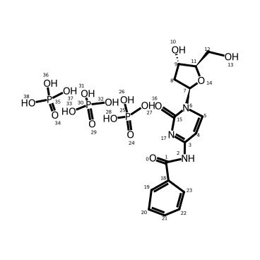 O=C(Nc1ccn([C@H]2C[C@H](O)[C@@H](CO)O2)c(=O)n1)c1ccccc1.O=P(O)(O)O.O=P(O)(O)O.O=P(O)(O)O